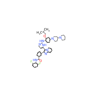 CC(C)COc1cc(N2CCC(N3CCCCC3)CC2)ccc1NC1N=CC=C(c2c(-c3cccc(C(=O)Nc4c(F)cccc4F)c3)nc3ccccn23)N1